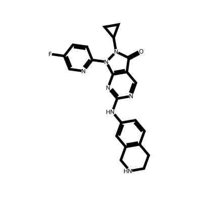 O=c1c2cnc(Nc3ccc4c(c3)CNCC4)nc2n(-c2ccc(F)cn2)n1C1CC1